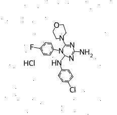 Cl.NC1=NC(Nc2ccc(Cl)cc2)N(c2ccc(F)cc2)C(N2CCOCC2)=N1